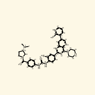 CN(C)[C@H]1CCN(C(=O)c2ccc(NC(=O)Nc3ccc(-c4nc(N5CCOCC5)c5ncc(-c6cccnc6F)cc5n4)cc3F)cc2)C1